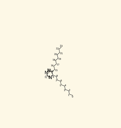 CCCCCCCCCc1n[c]nnc1CCCCCCCCC